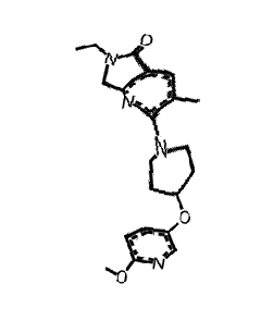 CCN1Cc2nc(N3CCC(Oc4ccc(OC)nc4)CC3)c(C)cc2C1=O